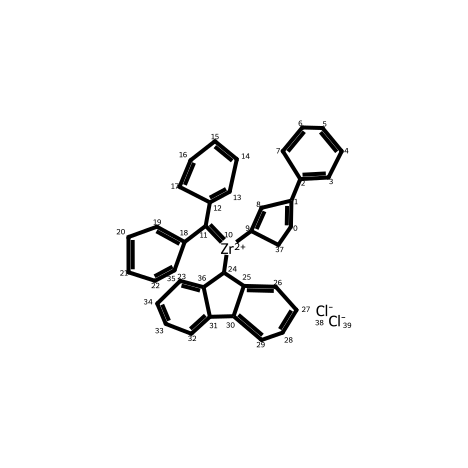 C1=C(c2ccccc2)C=[C]([Zr+2](=[C](c2ccccc2)c2ccccc2)[CH]2c3ccccc3-c3ccccc32)C1.[Cl-].[Cl-]